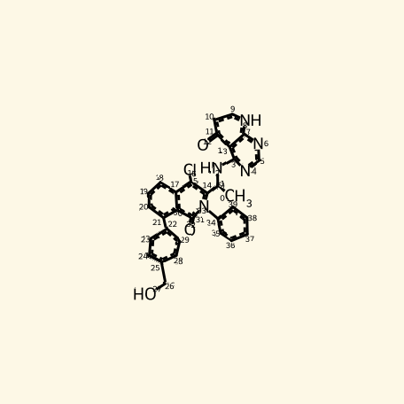 C[C@H](Nc1ncnc2[nH]ccc(=O)c12)c1c(Cl)c2cccc(-c3ccc(CO)cc3)c2c(=O)n1-c1ccccc1